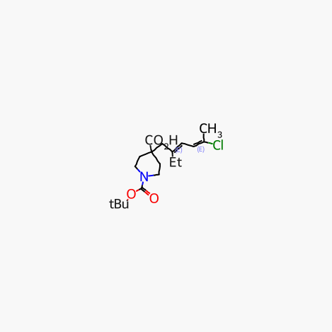 CC/C(=C\C=C(/C)Cl)CC1(C(=O)O)CCN(C(=O)OC(C)(C)C)CC1